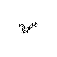 CC(C)n1cnc2c(NCc3ccc(-c4cccnc4)nc3)nc(-c3cncs3)nc21